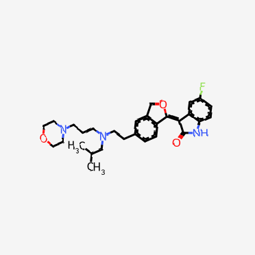 CC(C)CN(CCCN1CCOCC1)CCc1ccc2c(c1)COC2=C1C(=O)Nc2ccc(F)cc21